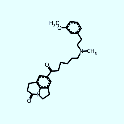 COc1cccc(CCN(C)CCCCCC(=O)c2cc3c4c(c2)CCN4C(=O)CC3)c1